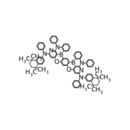 CC1(C)CCC(C)(C)c2cc(N(c3ccccc3)c3cc4c5c(n3)N(c3ccccc3)c3ccccc3B5c3cc5c(cc3O4)Oc3cc(N(c4ccccc4)c4ccc6c(c4)C(C)(C)CCC6(C)C)nc4c3B5c3ccccc3N4c3ccccc3)ccc21